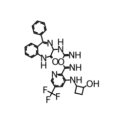 N=C(NC1N=C(c2ccccc2)c2ccccc2NC1=O)OC(=N)c1ncc(C(F)(F)F)cc1NC1CCC1O